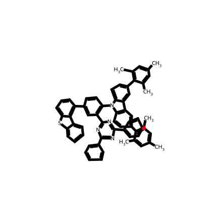 Cc1cc(C)c(-c2ccc3c(c2)c2cc(-c4c(C)cc(C)cc4C)ccc2n3-c2ccc(-c3cccc4sc5ccccc5c34)cc2-c2nc(-c3ccccc3)nc(-c3ccccc3)n2)c(C)c1